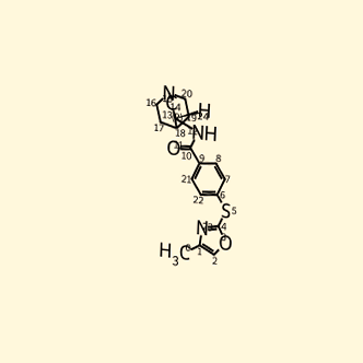 Cc1coc(Sc2ccc(C(=O)N[C@H]3CN4CCC3CC4)cc2)n1